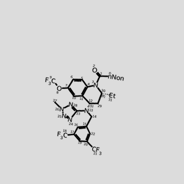 CCCCCCCCCC(=O)N1c2ccc(OC(F)(F)F)cc2[C@@H](N(Cc2cc(C(F)(F)F)cc(C(F)(F)F)c2)c2nnn(C)n2)C[C@H]1CC